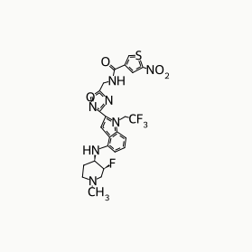 CN1CC[C@@H](Nc2cccc3c2cc(-c2noc(CNC(=O)c4csc([N+](=O)[O-])c4)n2)n3CC(F)(F)F)[C@@H](F)C1